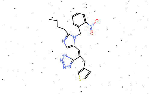 CCCCc1ncc(C=C(Cc2ccsc2)c2nnn[nH]2)n1Cc1ccccc1[N+](=O)[O-]